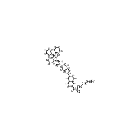 CCCSSCCOC(=O)N(C)c1ccc2cc(-c3nc4ccc(C(=O)NCC[PH](c5ccccc5)(c5ccccc5)c5ccccc5)cc4s3)ccc2c1